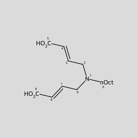 CCCCCCCCN(CC=CC(=O)O)CC=CC(=O)O